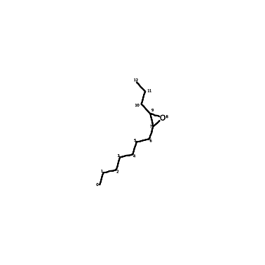 CCCCCCCC1OC1CCC